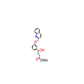 COC(=O)CCC(O)c1cccc(OCc2ccc3ccccc3n2)c1